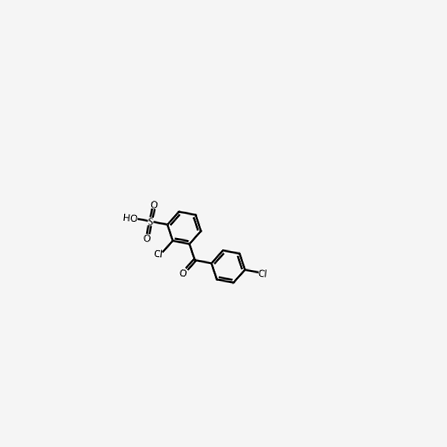 O=C(c1ccc(Cl)cc1)c1cccc(S(=O)(=O)O)c1Cl